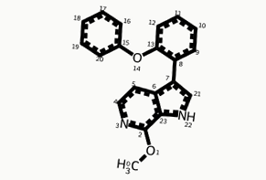 COc1nccc2c(-c3ccccc3Oc3ccccc3)c[nH]c12